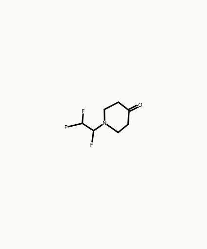 O=C1CCN(C(F)C(F)F)CC1